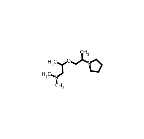 CC(CN(C)C)OCC(C)N1CCCC1